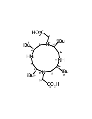 CCC(C)[C@H]1CN[C@@H](C(C)CC)CN(CC(=O)O)[C@@H](C(C)CC)CN[C@@H](C(C)CC)CN1CC(=O)O